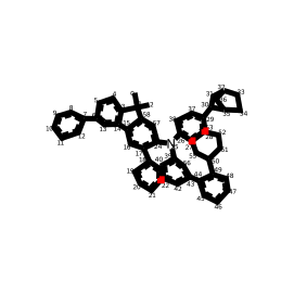 CC1(C)c2ccc(-c3ccccc3)cc2-c2cc(-c3ccccc3)c(N(c3ccc(C4CC5CCC4C5)cc3)c3cccc(-c4ccccc4C4CCCCC4)c3)cc21